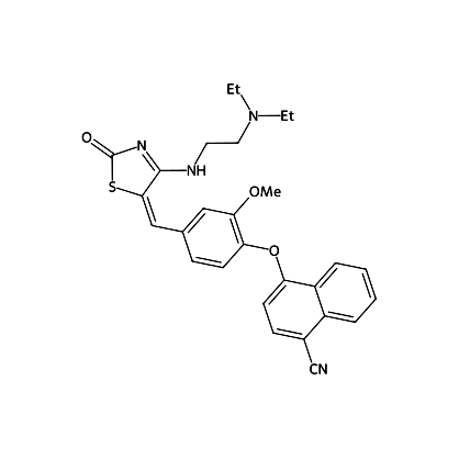 CCN(CC)CCNC1=NC(=O)SC1=Cc1ccc(Oc2ccc(C#N)c3ccccc23)c(OC)c1